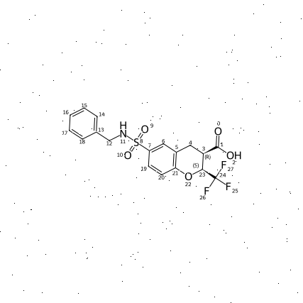 O=C(O)[C@@H]1Cc2cc(S(=O)(=O)NCc3ccccc3)ccc2O[C@@H]1C(F)(F)F